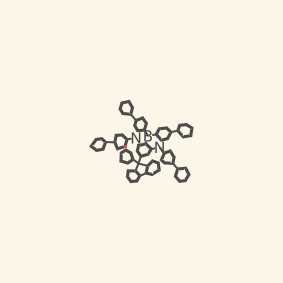 c1ccc(-c2ccc(N3c4cc(-c5ccccc5)ccc4B4c5ccc(-c6ccccc6)cc5N(c5ccc(-c6ccccc6)cc5)c5cc(C6(c7ccccc7)c7ccccc7-c7ccccc76)cc3c54)cc2)cc1